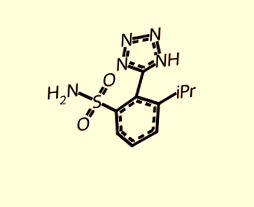 CC(C)c1cccc(S(N)(=O)=O)c1-c1nnn[nH]1